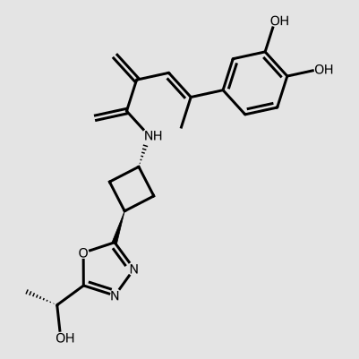 C=C(/C=C(\C)c1ccc(O)c(O)c1)C(=C)N[C@H]1C[C@H](c2nnc([C@@H](C)O)o2)C1